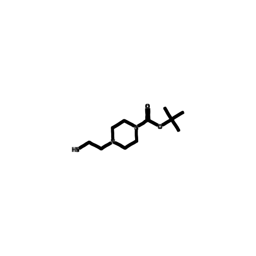 CC(C)(C)OC(=O)N1CCN(CCS)CC1